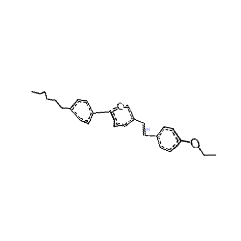 CCCCCc1ccc(-c2ccc(/C=C/c3ccc(OCC)cc3)cc2)cc1